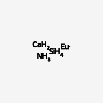 N.[CaH2].[Eu].[SiH4]